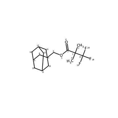 CC(C)(C(=O)OCC12CC3CC(CC(C3)C1)C2)C(F)(F)F